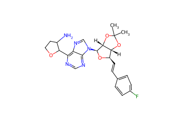 CC1(C)O[C@@H]2[C@H](O1)[C@@H](C=Cc1ccc(F)cc1)O[C@H]2n1cnc2c(C3OCCC3N)ncnc21